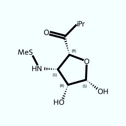 CSN[C@H]1[C@@H](O)[C@@H](O)O[C@H]1C(=O)C(C)C